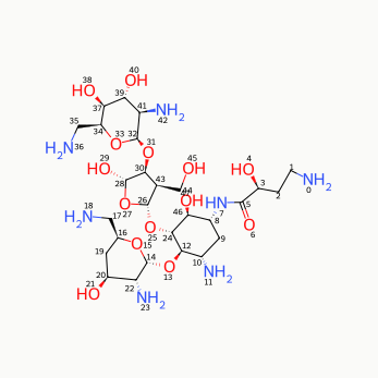 NCC[C@H](O)C(=O)N[C@@H]1C[C@H](N)[C@@H](O[C@H]2O[C@H](CN)C[C@H](O)[C@H]2N)[C@H](O[C@@H]2O[C@H](O)[C@@H](O[C@H]3O[C@@H](CN)[C@@H](O)[C@H](O)[C@H]3N)[C@H]2CO)[C@H]1O